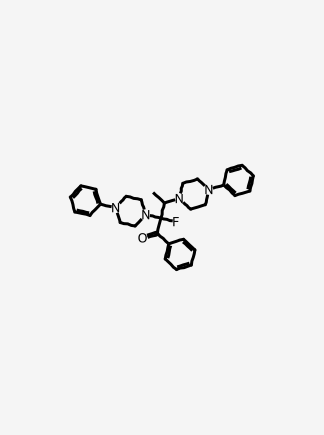 CC(N1CCN(c2ccccc2)CC1)C(F)(C(=O)c1ccccc1)N1CCN(c2ccccc2)CC1